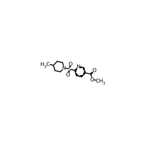 COC(=O)c1ccc(S(=O)(=O)N2CCC(C)CC2)nc1